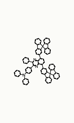 c1ccc(-c2nc3c(-c4ccc5c(c4)C4(c6ccccc6-c6ccccc64)c4ccccc4-5)ccc(-c4ccc5c(c4)C4(c6ccccc6-c6ccccc64)c4ccccc4-5)c3nc2-c2ccc(N(c3ccccc3)c3ccccc3)cc2)cc1